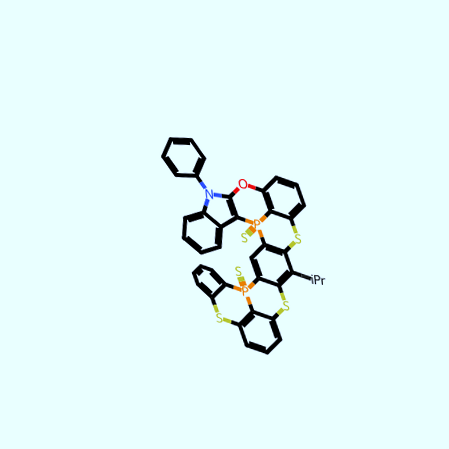 CC(C)c1c2c(cc3c1Sc1cccc4c1P3(=S)c1c(n(-c3ccccc3)c3ccccc13)O4)P1(=S)c3ccccc3Sc3cccc(c31)S2